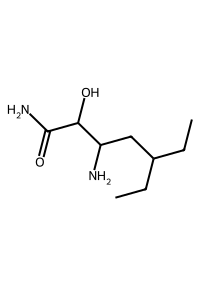 CCC(CC)CC(N)C(O)C(N)=O